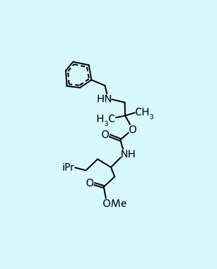 COC(=O)CC(CCC(C)C)NC(=O)OC(C)(C)CNCc1ccccc1